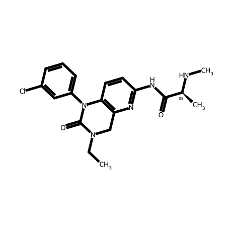 CCN1Cc2nc(NC(=O)[C@H](C)NC)ccc2N(c2cccc(Cl)c2)C1=O